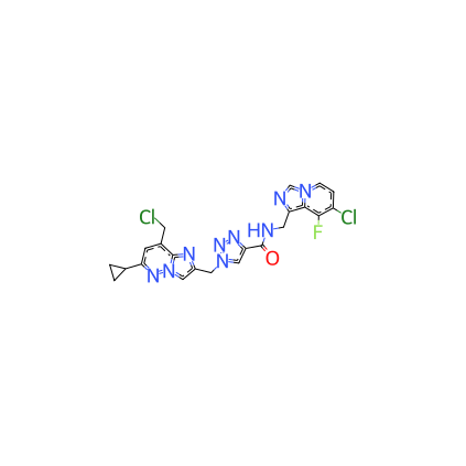 O=C(NCc1ncn2ccc(Cl)c(F)c12)c1cn(Cc2cn3nc(C4CC4)cc(CCl)c3n2)nn1